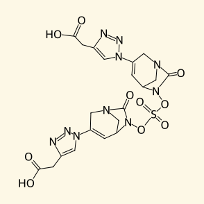 O=C(O)Cc1cn(C2=CC3CN(C2)C(=O)N3OS(=O)(=O)ON2C(=O)N3CC(n4cc(CC(=O)O)nn4)=CC2C3)nn1